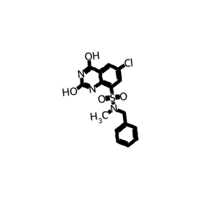 CN(Cc1ccccc1)S(=O)(=O)c1cc(Cl)cc2c(O)nc(O)nc12